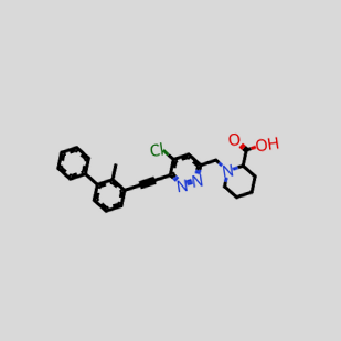 Cc1c(C#Cc2nnc(CN3CCCCC3C(=O)O)cc2Cl)cccc1-c1ccccc1